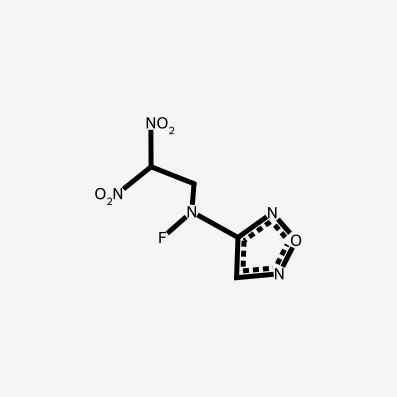 O=[N+]([O-])C(CN(F)c1cnon1)[N+](=O)[O-]